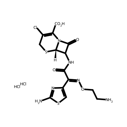 Cl.Cl.NCCON=C(C(=O)NC1C(=O)N2C(C(=O)O)=C(Cl)CS[C@@H]12)c1csc(N)n1